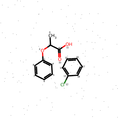 CC(Oc1ccccc1)C(=O)O.Clc1ccccc1